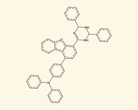 c1ccc(C2N=C(c3ccc(-c4ccc(N(c5ccccc5)c5ccccc5)cc4)c4c3oc3ccccc34)NC(c3ccccc3)N2)cc1